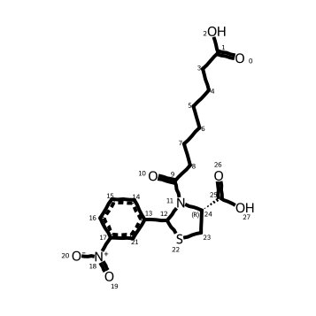 O=C(O)CCCCCCC(=O)N1C(c2cccc([N+](=O)[O-])c2)SC[C@H]1C(=O)O